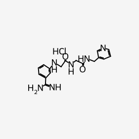 Cl.N=C(N)c1cccc(NCC(=O)NCC(=O)NCc2cccnc2)c1